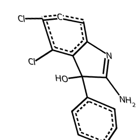 NC1=Nc2ccc(Cl)c(Cl)c2C1(O)c1ccccc1